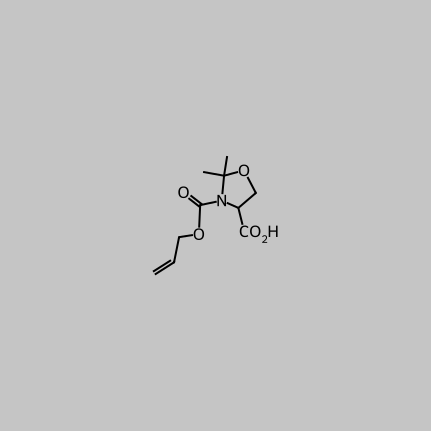 C=CCOC(=O)N1C(C(=O)O)COC1(C)C